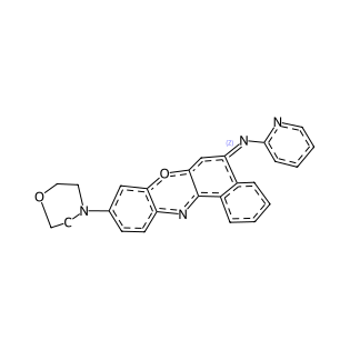 c1ccc(/N=c2/cc3oc4cc(N5CCOCC5)ccc4nc-3c3ccccc23)nc1